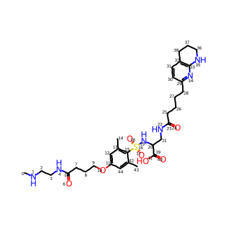 CNCCNC(=O)CCCOc1cc(C)c(S(=O)(=O)NC(CNC(=O)CCCCc2ccc3c(n2)NCCC3)C(=O)O)c(C)c1